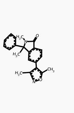 Cc1noc(C)c1-c1ccc2c(c1)C(C)(c1ccccc1)N(C)C2=O